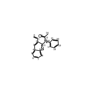 C=Cc1cc2ccccc2nc1N(C(C)=O)c1ccccc1